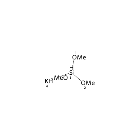 CO[SiH](OC)OC.[KH]